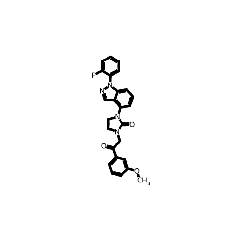 COc1cccc(C(=O)CN2CCN(c3cccc4c3cnn4-c3ccccc3F)C2=O)c1